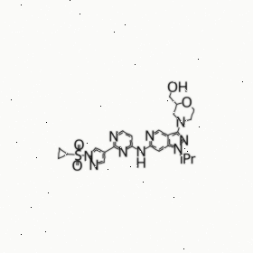 CC(C)n1nc(N2CCOC(CO)C2)c2cnc(Nc3ccnc(-c4cnn(S(=O)(=O)C5CC5)c4)n3)cc21